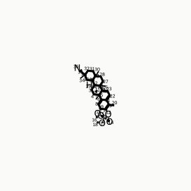 CC[C@@]12CC[C@@]3(C)C4=CC(=O)C(OP(=O)(OC)OC)=C(C)C4=CC=C3[C@@]1(C)CC[C@@]1(C)CC[C@@](C)(C#N)C[C@H]12